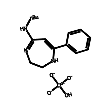 CCCCNC1=NCCNC(c2ccccc2)=C1.[O-][Cl+3]([O-])([O-])O